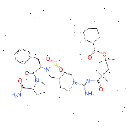 CC(C)(CC(C)(C)C(=O)N=C(N)N1CCC(CN([C@H](Cc2ccccc2)C(=O)N2CCC[C@H]2C(N)=O)S(C)(=O)=O)CC1)OC(=O)C1CCCCC1